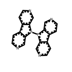 c1cc2c3ccncc3p(-p3c4cnccc4c4ccncc43)c2cn1